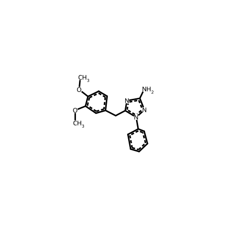 COc1ccc(Cc2nc(N)nn2-c2ccccc2)cc1OC